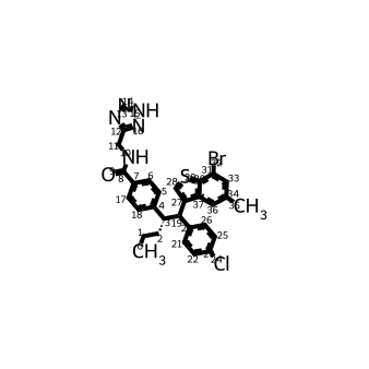 CCC[C@H](c1ccc(C(=O)NCc2nn[nH]n2)cc1)C(c1ccc(Cl)cc1)c1csc2c(Br)cc(C)cc12